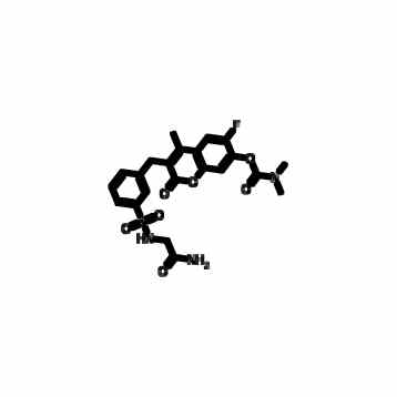 Cc1c(Cc2cccc(S(=O)(=O)NCC(N)=O)c2)c(=O)oc2cc(OC(=O)N(C)C)c(F)cc12